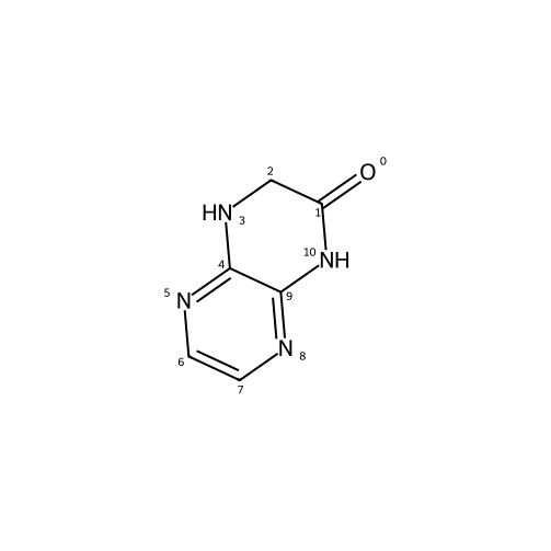 O=C1CNc2nccnc2N1